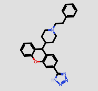 c1ccc(CCN2CCC(C3c4ccccc4Oc4cc(-c5nnn[nH]5)ccc43)CC2)cc1